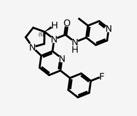 Cc1cnccc1NC(=O)N1c2nc(-c3cccc(F)c3)ccc2N2CC[C@H]1C2